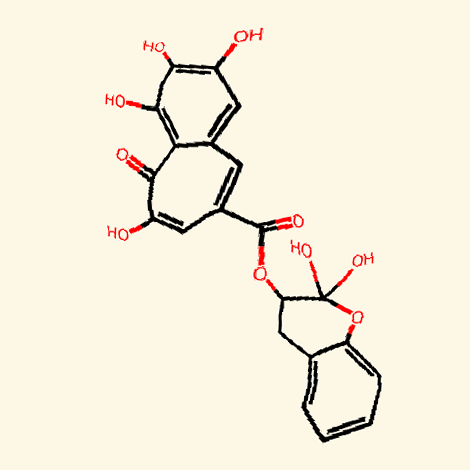 O=C(OC1Cc2ccccc2OC1(O)O)c1cc(O)c(=O)c2c(O)c(O)c(O)cc2c1